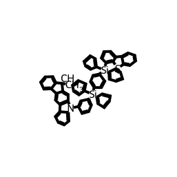 CC1(C)c2ccccc2-c2cc3c4ccccc4n(-c4cccc([Si](c5ccccc5)(c5ccccc5)c5ccc([Si](c6ccccc6)(c6ccccc6)c6cccc7c6sc6ccccc67)cc5)c4)c3cc21